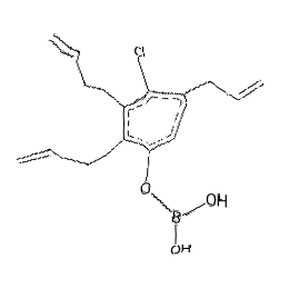 C=CCc1cc(OB(O)O)c(CC=C)c(CC=C)c1Cl